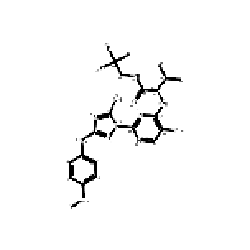 COc1ccc(Nc2nc(N)n(-c3ncc(F)c(N[C@@H](C(=O)NCC(F)(F)F)C(C)C)n3)n2)cc1